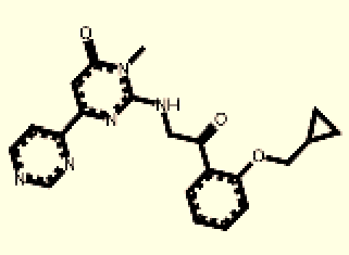 Cn1c(NCC(=O)c2ccccc2OCC2CC2)nc(-c2ccncn2)cc1=O